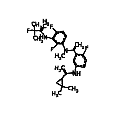 C=C(Nc1ccc(F)c(C(=C)N(C)c2ccc(F)c(NC(=C)C(C)(C)F)c2F)c1)C1CC1(C)C